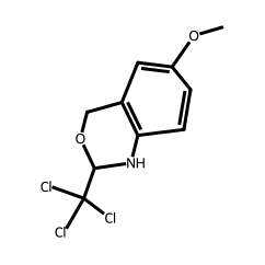 COc1ccc2c(c1)COC(C(Cl)(Cl)Cl)N2